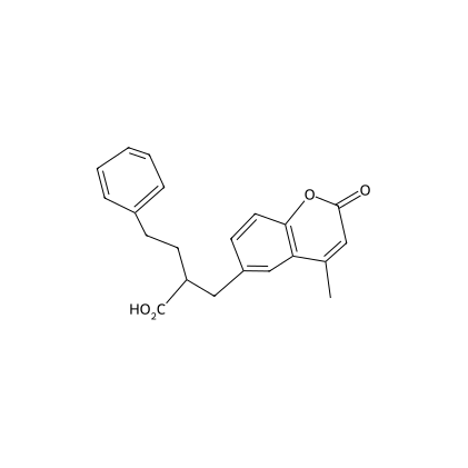 Cc1cc(=O)oc2ccc(CC(CCc3ccccc3)C(=O)O)cc12